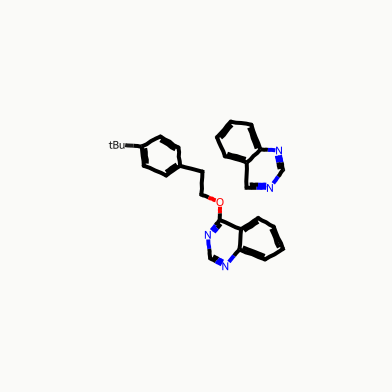 CC(C)(C)c1ccc(CCOc2ncnc3ccccc23)cc1.c1ccc2ncncc2c1